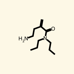 C=C(CCN)C(=O)N(CCC)CCC